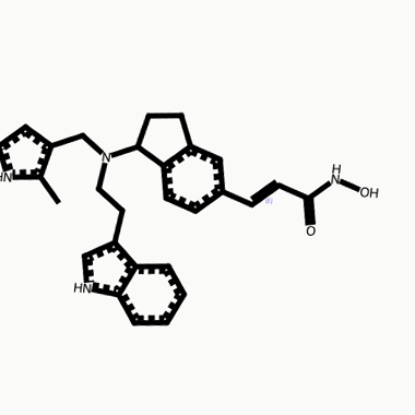 Cc1[nH]ccc1CN(CCc1c[nH]c2ccccc12)C1CCc2cc(/C=C/C(=O)NO)ccc21